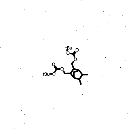 CC1C(C)C2CC1C(COC(=O)OC(C)(C)C)C2COC(=O)OC(C)(C)C